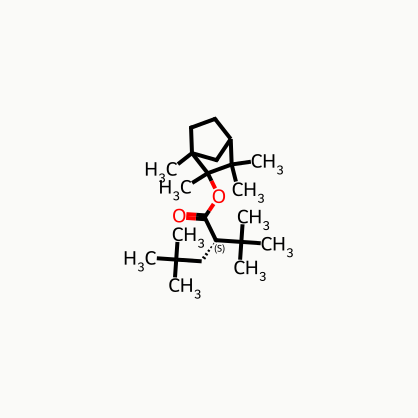 CC(C)(C)C[C@H](C(=O)OC1(C)C2(C)CCC(C2)C1(C)C)C(C)(C)C